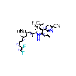 C=C=C(N/C(=C/C=C)C(=CC(C)C(F)(F)F)C(/C=N\C(=C)C#N)=C/C)/C(C)=C/C(CCCC)C/C(C)=C/C=C\C(F)=C\F